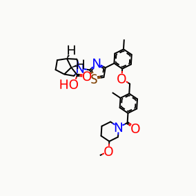 COC1CCCN(C(=O)c2ccc(COc3ccc(C)cc3-c3csc(N4CC5CC[C@H](C4)[C@@H]5C(=O)O)n3)c(C)c2)C1